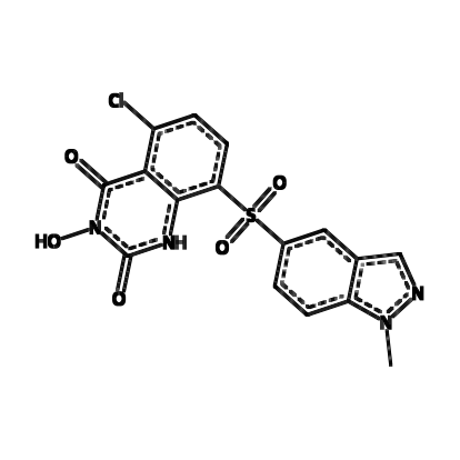 Cn1ncc2cc(S(=O)(=O)c3ccc(Cl)c4c(=O)n(O)c(=O)[nH]c34)ccc21